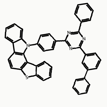 c1ccc(-c2cccc(-c3nc(-c4ccccc4)nc(-c4ccc(-n5c6ccccc6c6ccc7sc8ccccc8c7c65)cc4)n3)c2)cc1